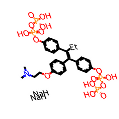 CC/C(=C(/c1ccc(OCCN(C)C)cc1)c1ccc(OP(=O)(O)OP(=O)(O)O)cc1)c1ccc(OP(=O)(O)OP(=O)(O)O)cc1.[NaH].[NaH]